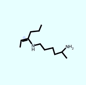 C/C=C(/CCC)NCCCCC(C)N